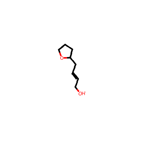 OCC=CCC1CCCO1